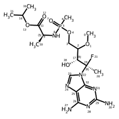 COC(COP(C)(=O)N[C@@H](C)C(=O)OC(C)C)[C@@H](O)[C@@](C)(F)n1cnc2c(N)nc(N)nc21